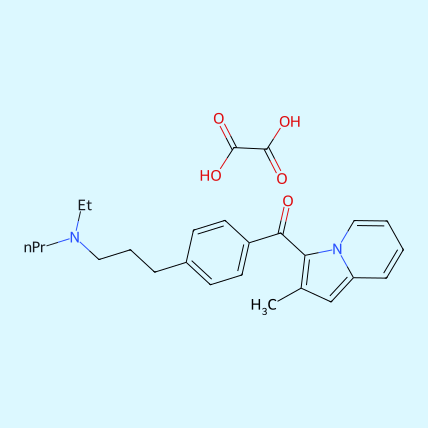 CCCN(CC)CCCc1ccc(C(=O)c2c(C)cc3ccccn23)cc1.O=C(O)C(=O)O